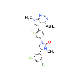 CN1C(=O)N(c2ccc(-c3cn(C)c4ncnc([AsH2])c34)c(F)c2)CC1c1cc(F)cc(Cl)c1